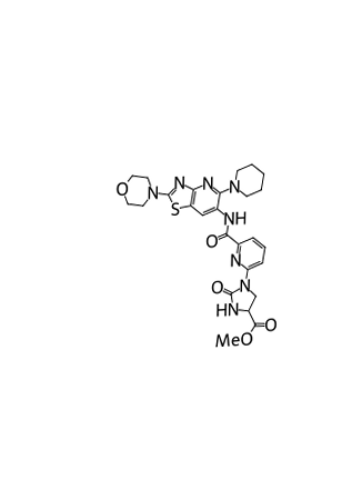 COC(=O)C1CN(c2cccc(C(=O)Nc3cc4sc(N5CCOCC5)nc4nc3N3CCCCC3)n2)C(=O)N1